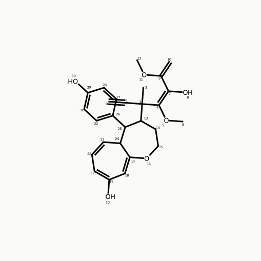 C#CC(C)(/C(OC)=C(/O)C(=C)OC)C1CCOC2=CC(O)=CC=CC2C1c1ccc(O)cc1